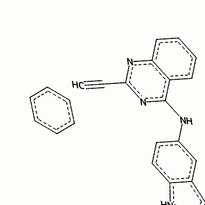 C#Cc1nc(Nc2ccc3[nH]ccc3c2)c2ccccc2n1.c1ccccc1